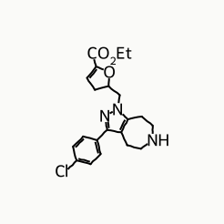 CCOC(=O)C1=CCC(Cn2nc(-c3ccc(Cl)cc3)c3c2CCNCC3)O1